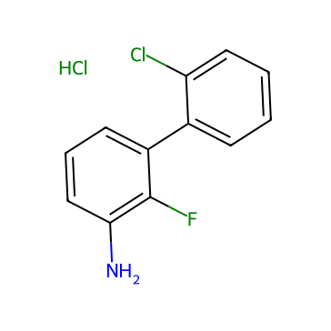 Cl.Nc1cccc(-c2ccccc2Cl)c1F